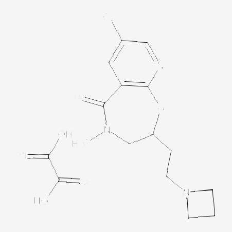 CN1CC(CCN2CCC2)Oc2ncc(Cl)cc2C1=O.O=C(O)C(=O)O